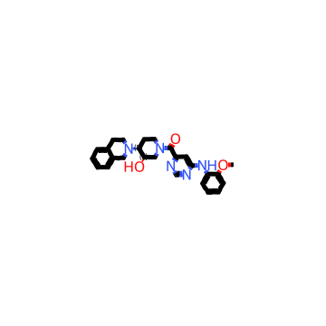 COc1ccccc1Nc1cc(C(=O)N2CC[C@H](N3CCc4ccccc4C3)[C@@H](O)C2)ncn1